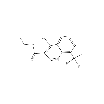 CCOC(=O)c1cnc2c(C(F)(F)F)cccc2c1Cl